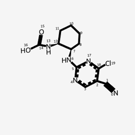 N#Cc1cnc(N[C@@H]2CCCC[C@@H]2NC(=O)O)nc1Cl